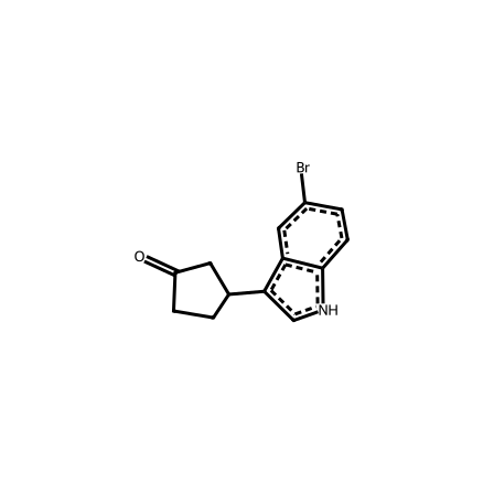 O=C1CCC(c2c[nH]c3ccc(Br)cc23)C1